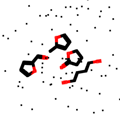 Cc1ccco1.O=C1CCCO1.O=Cc1ccco1.OCCCCO